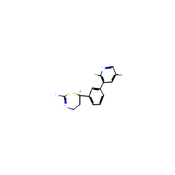 C[C@@]1(c2cccc(-c3cc(Cl)cnc3F)c2)CCN=C(N)S1